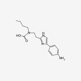 CCCCN(CCc1nc(-c2ccc(N)cc2)c[nH]1)C(=O)O